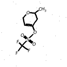 CC1CC(OS(=O)(=O)C(F)(F)F)=CCO1